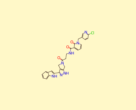 O=C(NCCC(=O)N1Cc2[nH]nc(-c3cc4ccccc4[nH]3)c2C1)c1cccn(Cc2ccc(Cl)nc2)c1=O